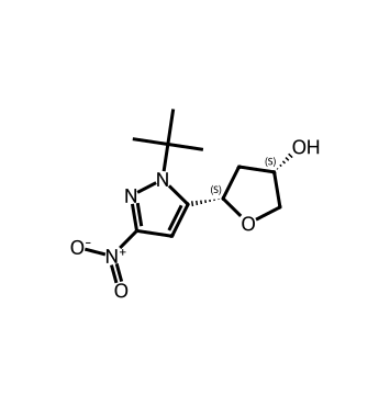 CC(C)(C)n1nc([N+](=O)[O-])cc1[C@@H]1C[C@H](O)CO1